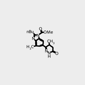 CCCCc1nc2c(C)cc(C3=NNC(=O)CC3C)cc2n1C(=O)OC